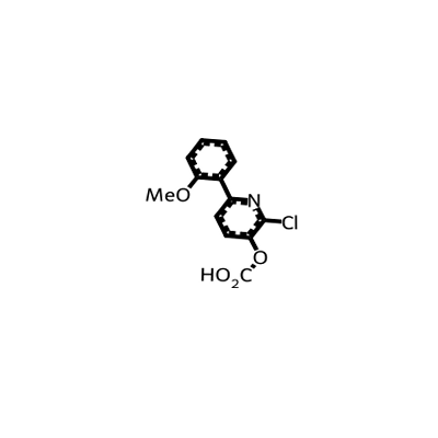 COc1ccccc1-c1ccc(OC(=O)O)c(Cl)n1